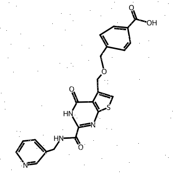 O=C(O)c1ccc(COCc2csc3nc(C(=O)NCc4cccnc4)[nH]c(=O)c23)cc1